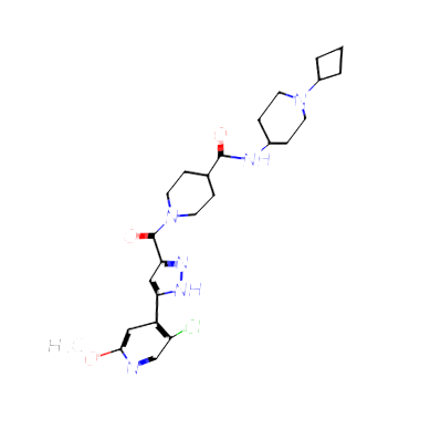 COc1cc(-c2cc(C(=O)N3CCC(C(=O)NC4CCN(C5CCC5)CC4)CC3)n[nH]2)c(Cl)cn1